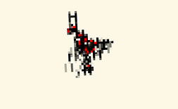 CCCNNC(=O)/C=C/c1ccc(CN(CCc2c[nH]c3ccccc23)C2CCCCC(c3cc([C@H](C(=O)N4C[C@H](O)C[C@H]4C(=O)N[C@@H](CO)c4ccc(-c5scnc5C)cc4)C(C)(C)C)on3)CC2)cc1